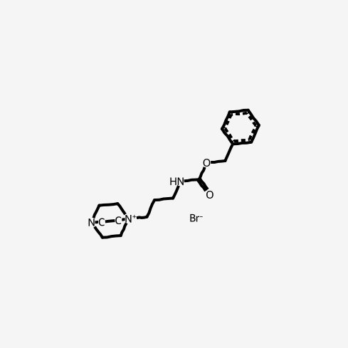 O=C(NCCC[N+]12CCN(CC1)CC2)OCc1ccccc1.[Br-]